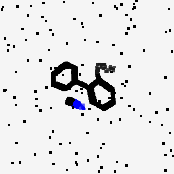 C#N.O=C(O)c1ccccc1-c1ccccc1